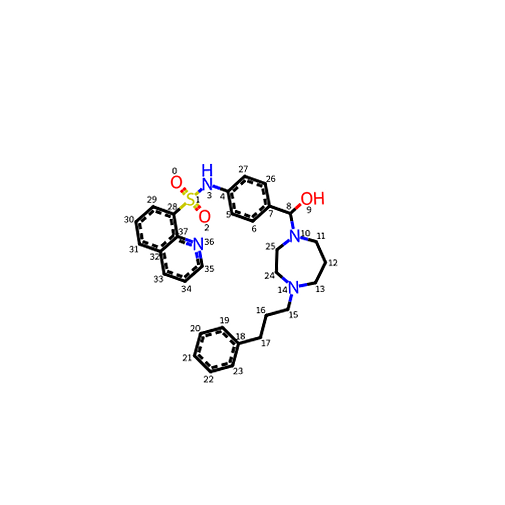 O=S(=O)(Nc1ccc(C(O)N2CCCN(CCCc3ccccc3)CC2)cc1)c1cccc2cccnc12